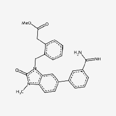 COC(=O)Cc1ccccc1Cn1c(=O)n(C)c2ccc(-c3cccc(C(=N)N)c3)cc21